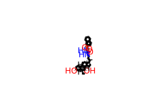 CC[C@H]1[C@@H](O)[C@@H]2[C@H](CC[C@]3(C)[C@@H]([C@H](C)CCNC(=O)NS(=O)(=O)c4ccc5c(c4)CCCC5)CC[C@@H]23)[C@@]2(C)CC[C@@H](O)C[C@@H]12